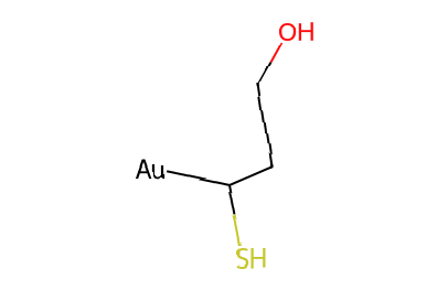 OCC[CH](S)[Au]